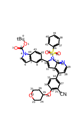 CC(C)(C)OC(=O)n1ccc2cc(-c3cc4c(-c5ccc(OC6CCOCC6)c(C#N)c5)ccnc4n3S(=O)(=O)c3ccccc3)ccc21